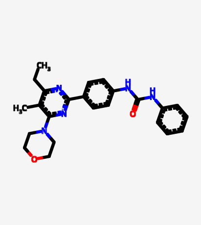 CCc1nc(-c2ccc(NC(=O)Nc3ccccc3)cc2)nc(N2CCOCC2)c1C